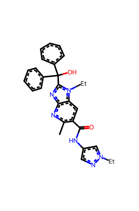 CCn1cc(NC(=O)c2cc3c(nc2C)nc(C(O)(c2ccccc2)c2ccccc2)n3CC)cn1